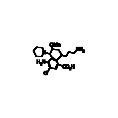 COC1CC(CCCN)c2c(C(=O)O)cc(Cl)c(N)c2C1N1CCCCC1